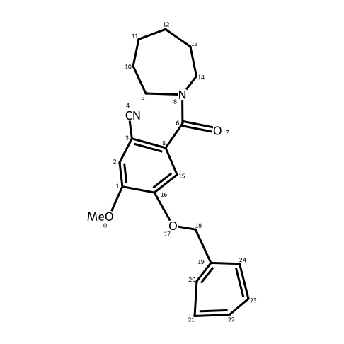 COc1cc(C#N)c(C(=O)N2CCCCCC2)cc1OCc1ccccc1